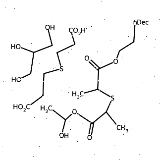 CCCCCCCCCCCCOC(=O)C(C)SC(C)C(=O)OC(C)O.O=C(O)CCSCCC(=O)O.OCC(O)CO